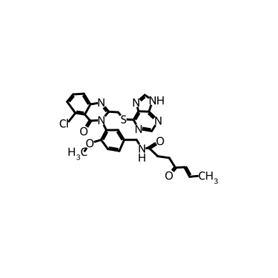 C/C=C/C(=O)CCC(=O)NCc1ccc(OC)c(-n2c(CSc3ncnc4[nH]cnc34)nc3cccc(Cl)c3c2=O)c1